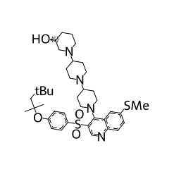 CSc1ccc2ncc(S(=O)(=O)c3ccc(OC(C)(C)CC(C)(C)C)cc3)c(N3CCC(N4CCC(N5CCC[C@H](O)C5)CC4)CC3)c2c1